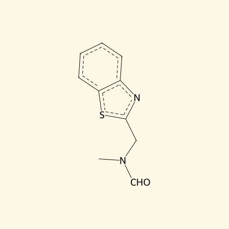 CN(C=O)Cc1nc2ccccc2s1